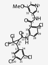 COc1cncc(NC(=O)c2cc(NC(=O)C3C(c4cc(Cl)cc(Cl)c4)C3(Cl)Cl)ccc2Cl)c1